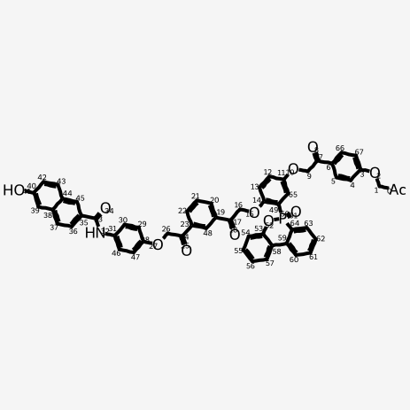 CC(=O)COc1ccc(C(=O)COc2ccc(OCC(=O)c3cccc(C(=O)COc4ccc(NC(=O)c5ccc6cc(O)ccc6c5)cc4)c3)c(P3(=O)Oc4ccccc4-c4ccccc43)c2)cc1